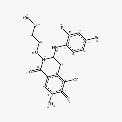 Cn1cc2c(c(Cl)c1=O)CC(Nc1ccc(Br)cc1F)N(OCCOC(C)(C)C)C2=O